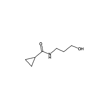 O=C(NCCCO)C1CC1